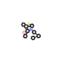 c1ccc(-c2ccccc2-c2ccc(N(c3ccc4oc5ccccc5c4c3)c3cccc4sc5c6ccccc6ccc5c34)cc2)cc1